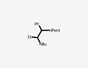 CCCCC[C](C(C)C)C(CC)CCCC